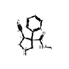 CNC(=O)[C@@]1(c2ccccc2)CNCC1C#N